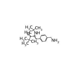 CC(C)(C)N[C@@H](Cc1ccc(CN)cc1)C(=O)C(C)(C)C